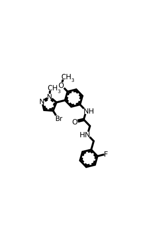 COc1ccc(NC(=O)CNCc2ccccc2F)cc1-c1c(Br)cnn1C